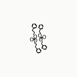 O=C(OCCCc1ccccc1)OCCCc1ccccc1.O=C(OCCc1ccccc1)OCCc1ccccc1